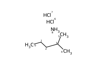 CCCC(C)C.Cl.Cl.N